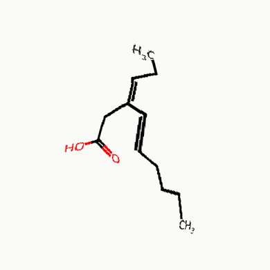 CCC=C(C=CCCCC)CC(=O)O